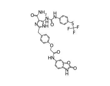 NC(=O)c1nc(Cc2ccc(OCC(=O)Nc3ccc4[nH]c(=O)oc4c3)cc2)[nH]c1NC(=O)Nc1ccc(SC(F)(F)F)cc1